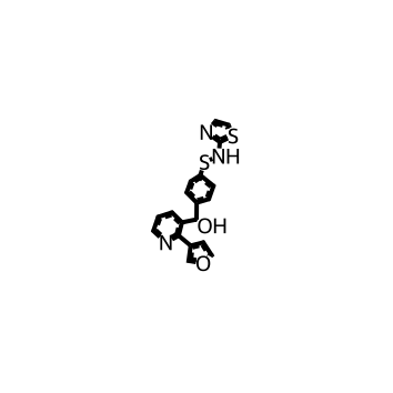 OC(c1ccc(SNc2nccs2)cc1)c1cccnc1-c1ccoc1